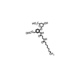 C=CSCCCCCC(=O)NCCC(=O)Nc1cc(COC=O)ccc1OC1CC(O)CC(C(=O)O)O1